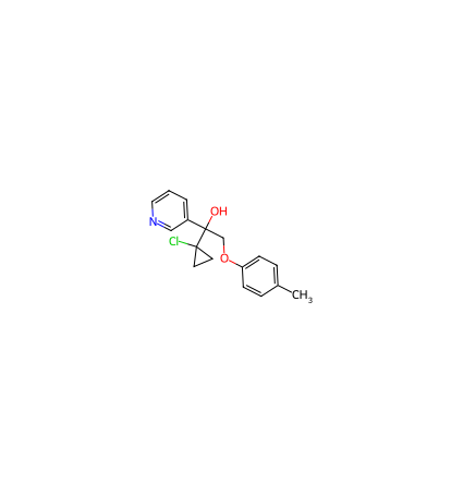 Cc1ccc(OCC(O)(c2cccnc2)C2(Cl)CC2)cc1